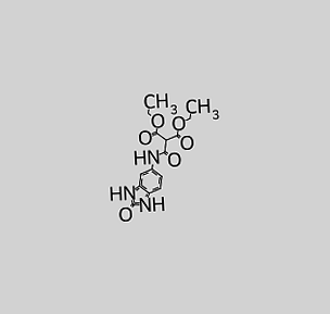 CCOC(=O)C(C(=O)Nc1ccc2[nH]c(=O)[nH]c2c1)C(=O)OCC